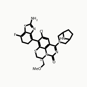 COC[C@H]1CSc2c(C3=c4nc(N)sc4=C(F)CC3)c(Cl)cc3c(N4CC5CCC(C4)N5)nc(=O)n1c23